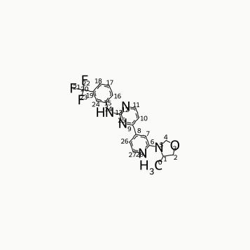 CC1COCN1c1cc(-c2ccnc(Nc3cccc(C(F)(F)F)c3)n2)ccn1